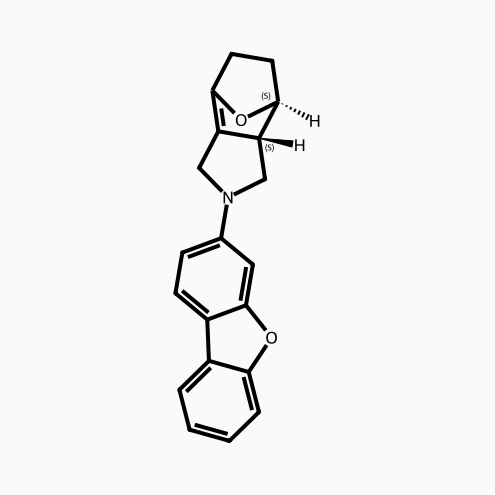 c1ccc2c(c1)oc1cc(N3CC4=C5CC[C@H](O5)[C@@H]4C3)ccc12